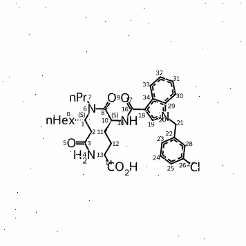 CCCCCC[C@@H](CC(N)=O)N(CCC)C(=O)[C@H](CCCC(=O)O)NC(=O)c1cn(Cc2cccc(Cl)c2)c2ccccc12